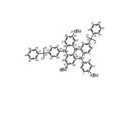 CC(C)(C)c1ccc(N2c3ccc(C(C)(C)c4ccccc4)cc3B3c4cc(C(C)(C)C)ccc4N(c4ccc(C(C)(C)c5ccccc5)cc4)c4cc(C(C)(C)C)cc2c43)cc1